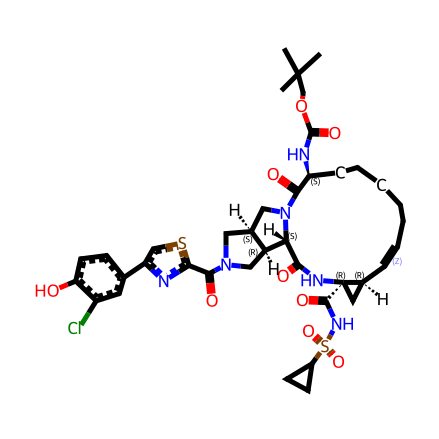 CC(C)(C)COC(=O)N[C@H]1CCCCC/C=C\[C@H]2C[C@@]2(C(=O)NS(=O)(=O)C2CC2)NC(=O)[C@@H]2[C@H]3CN(C(=O)c4nc(-c5ccc(O)c(Cl)c5)cs4)C[C@H]3CN2C1=O